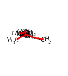 CCCCCCCCCCCCCCCCCCCCCC[C@@H](O)C(=O)N[C@@H](CO[C@@H]1O[C@H](CO[C@@H]2OC[C@@H](O)[C@@H](O)[C@@H]2O)[C@@H](O)[C@H](O)[C@H]1O)[C@H](O)[C@H](O)CCCCCCCCCCCCCC